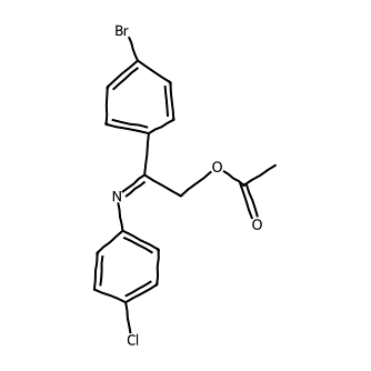 CC(=O)OCC(=Nc1ccc(Cl)cc1)c1ccc(Br)cc1